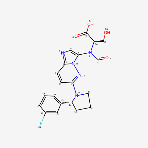 O=CN(c1cnc2ccc(N3CCC[C@@H]3c3cccc(F)c3)nn12)[C@H](CO)C(=O)O